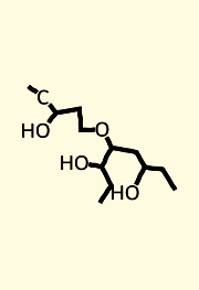 CCC(O)CCOC(CC(O)CC)C(O)CC